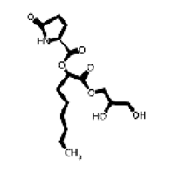 CCCCCCC(OC(=O)[C@@H]1CCC(=O)N1)C(=O)OCC(O)CO